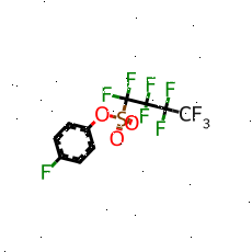 O=S(=O)(Oc1ccc(F)cc1)C(F)(F)C(F)(F)C(F)(F)C(F)(F)F